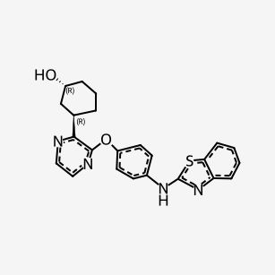 O[C@@H]1CCC[C@@H](c2nccnc2Oc2ccc(Nc3nc4ccccc4s3)cc2)C1